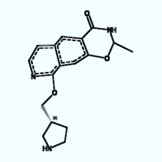 CC1NC(=O)c2cc3ccnc(OC[C@@H]4CCNC4)c3cc2O1